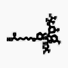 O=C(O)CCCCCCOc1ccc(C[C@@](NC(=O)NCC(F)(F)F)(c2ccc(F)cc2)c2cc(F)cc(OC(F)(F)C(F)F)c2)cc1